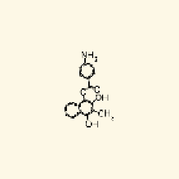 Cc1c(O)c(OC(=O)c2ccc(N)cc2)c2ccccc2c1O